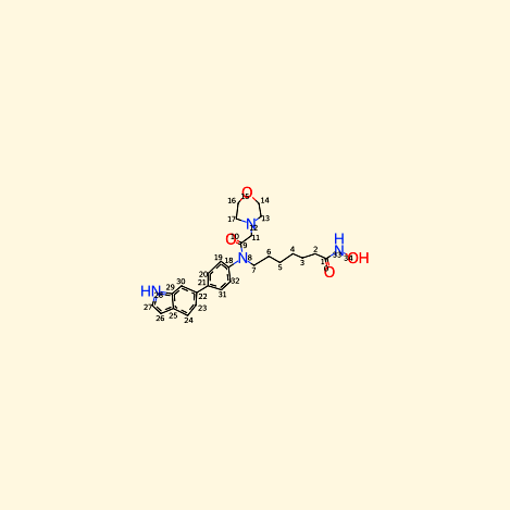 O=C(CCCCCCN(C(=O)CN1CCOCC1)c1ccc(-c2ccc3cc[nH]c3c2)cc1)NO